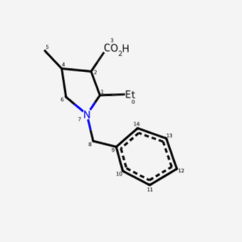 CCC1C(C(=O)O)C(C)CN1Cc1ccccc1